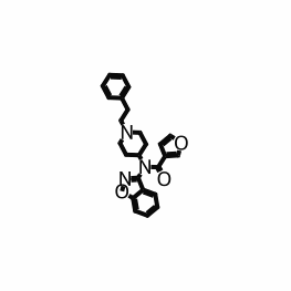 O=C(c1ccoc1)N(c1noc2ccccc12)C1CCN(CCc2ccccc2)CC1